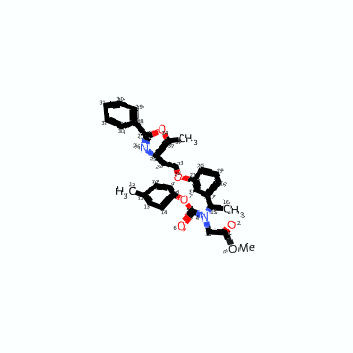 COC(=O)CN(C(=O)Oc1ccc(C)cc1)C(C)c1cccc(OCCc2nc(-c3ccccc3)oc2C)c1